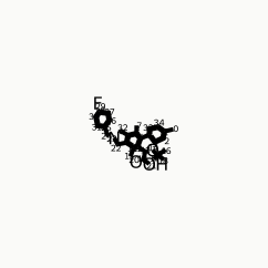 Cc1ccc(-c2c(C)c3c(c(C)c2[C@H](OC(C)(C)C)C(=O)O)CN(Cc2ccc(F)cc2)C3)cc1